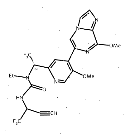 C#CC(NC(=O)N(CC)[C@@H](c1cc(-c2cn3ccnc3c(OC)n2)c(OC)cn1)C(F)(F)F)C(F)(F)F